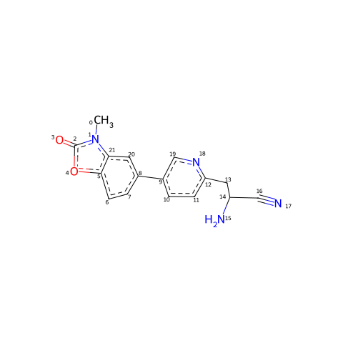 Cn1c(=O)oc2ccc(-c3ccc(CC(N)C#N)nc3)cc21